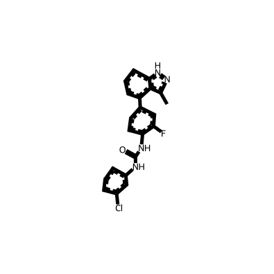 Cc1n[nH]c2cccc(-c3ccc(NC(=O)Nc4cccc(Cl)c4)c(F)c3)c12